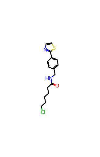 O=C(CCCCCCl)NCc1ccc(-c2nccs2)cc1